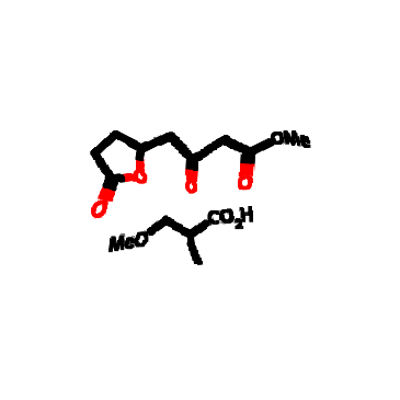 COC(=O)CC(=O)CC1CCC(=O)O1.COCC(C)C(=O)O